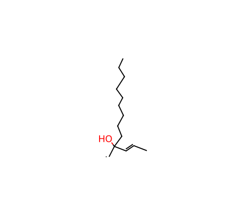 [CH2]C(O)(C=CC)CCCCCCCCC